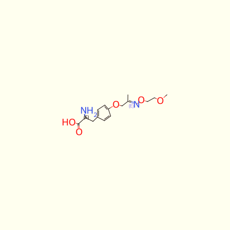 COCCO/N=C(\C)COc1ccc(C[C@H](N)C(=O)O)cc1